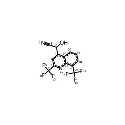 N#CC(O)c1cc(C(F)(F)F)nc2c(C(F)(F)F)cccc12